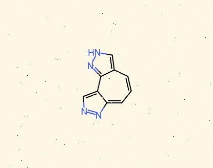 c1cc2nncc-2c2n[nH]cc2c1